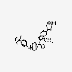 Cn1c(C(=O)N2CCN(Cc3ccc(C(F)(F)F)cc3)CC2)cc2c1CC(C1CCNCC1)C=C2